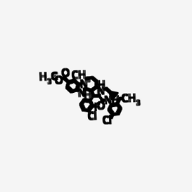 CCc1ccc(Cl)cc1NC(=O)[C@H]1[C@@H](c2cccc(Cl)c2F)[C@@H]2c3nc4ccc(C(=O)OC)c(C)c4n3CCC[C@@H]2N1CC1CC1